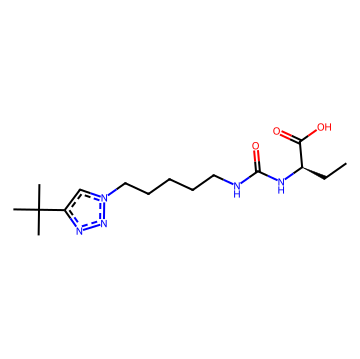 CC[C@@H](NC(=O)NCCCCCn1cc(C(C)(C)C)nn1)C(=O)O